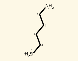 NCCCC[SiH2]